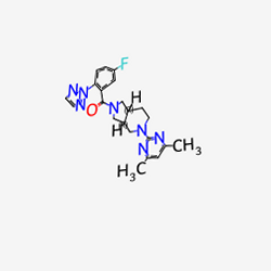 Cc1cc(C)nc(N2CC[C@H]3CN(C(=O)c4cc(F)ccc4-n4nccn4)C[C@H]3C2)n1